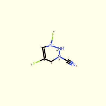 N#CN1CC(F)=CN(F)N1